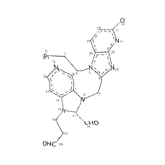 CC(C)CCn1c(CN2c3cnccc3N(CCC=O)C2C=O)nc2nc(Cl)ccc21